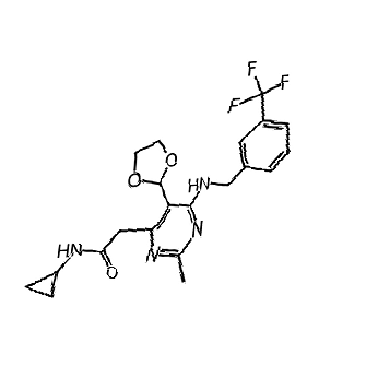 Cc1nc(CC(=O)NC2CC2)c(C2OCCO2)c(NCc2cccc(C(F)(F)F)c2)n1